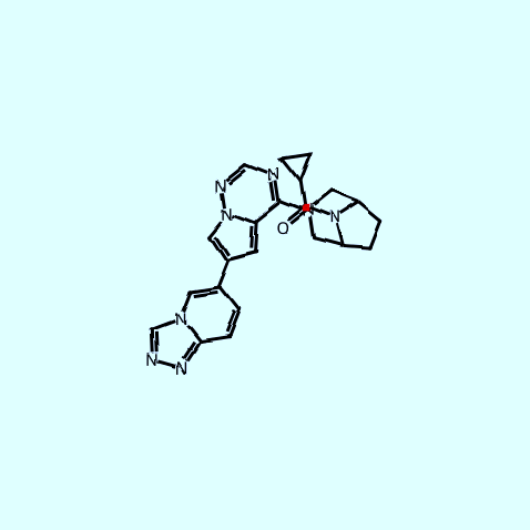 O=C(C1CC1)N1C2CCC1CN(c1ncnn3cc(-c4ccc5nncn5c4)cc13)C2